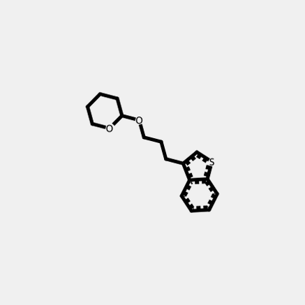 c1ccc2c(CCCOC3CCCCO3)csc2c1